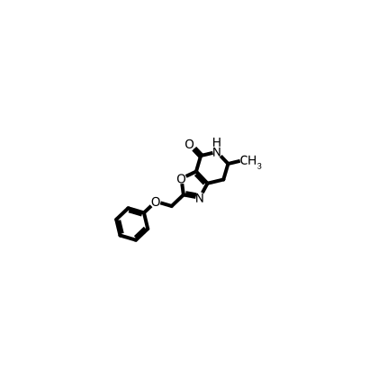 CC1Cc2nc(COc3ccccc3)oc2C(=O)N1